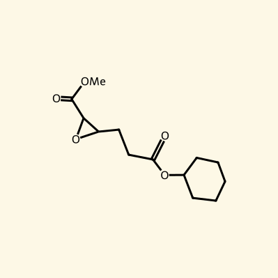 COC(=O)C1OC1CCC(=O)OC1CCCCC1